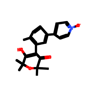 Cc1ccc(-c2cc[n+]([O-])cc2)cc1C1=C(O)C(C)(C)OC(C)(C)C1=O